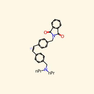 CCCN(CCC)Cc1ccc(/C=C\c2ccc(CN3C(=O)c4ccccc4C3=O)cc2)cc1